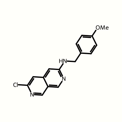 COc1ccc(CNc2cc3cc(Cl)ncc3cn2)cc1